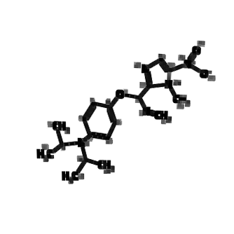 C=NC(Oc1ccc(N(C(C)C)C(C)C)cc1)c1ncc([N+](=O)[O-])n1C